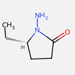 CC[C@H]1CCC(=O)N1N